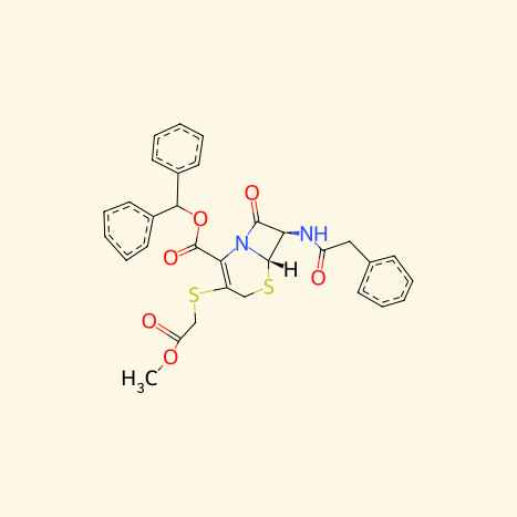 COC(=O)CSC1=C(C(=O)OC(c2ccccc2)c2ccccc2)N2C(=O)[C@@H](NC(=O)Cc3ccccc3)[C@@H]2SC1